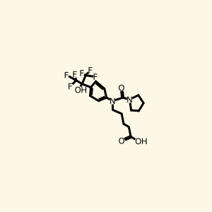 O=C(O)CCCCN(C(=O)N1CCCC1)c1ccc(C(O)(C(F)(F)F)C(F)(F)F)cc1